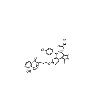 CCNC(=O)C[C@@H]1N=C(c2ccc(Cl)cc2)c2cc(OCCCNC(=O)c3cccc(O)c3O)ccc2-n2c(C)nnc21